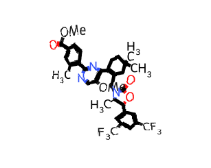 COC(=O)c1ccc(-c2ncc(OC)c(C3=C(CN4C(=O)OC(c5cc(C(F)(F)F)cc(C(F)(F)F)c5)[C@@H]4C)CC(C)(C)CC3)n2)c(C)c1